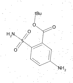 CC(C)(C)OC(=O)c1cc(N)ccc1S(N)(=O)=O